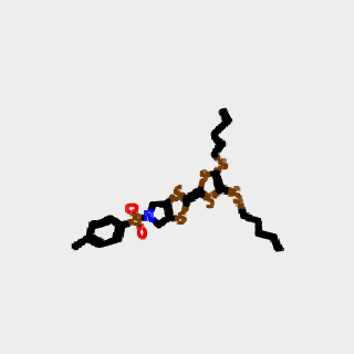 CCCCCSC1=C(SCCCCC)SC(=C2SC3=C(CN(S(=O)(=O)c4ccc(C)cc4)C3)S2)S1